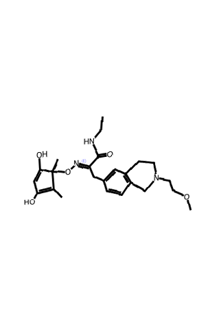 CCNC(=O)/C(Cc1ccc2c(c1)CCN(CCOC)C2)=N/OC1(C)C(O)=CC(O)=C1C